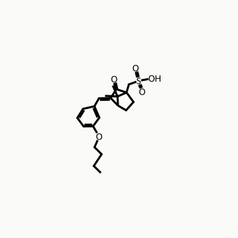 CCCCOc1cccc(C=C2C(=O)C3(CS(=O)(=O)O)CCC2C3(C)C)c1